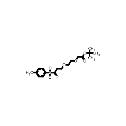 Cc1ccc(S(=O)(=O)C(=O)CCOCCOCC(=O)OC(C)(C)C)cc1